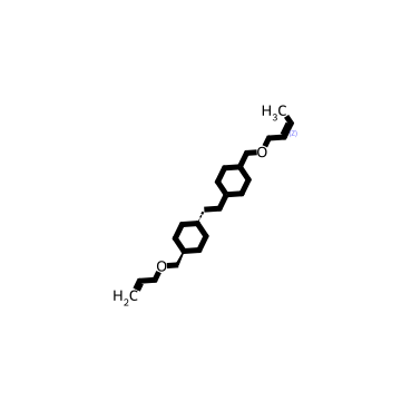 C=CCOC[C@H]1CC[C@H](CCC2CCC(COC/C=C\C)CC2)CC1